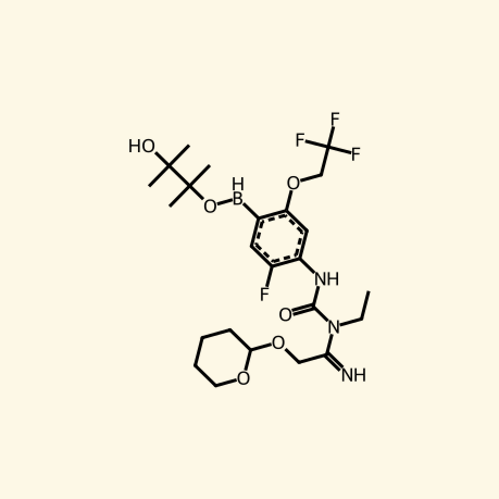 CCN(C(=N)COC1CCCCO1)C(=O)Nc1cc(OCC(F)(F)F)c(BOC(C)(C)C(C)(C)O)cc1F